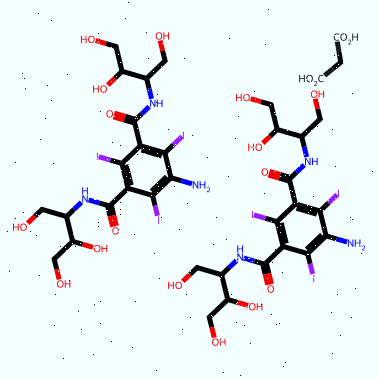 Nc1c(I)c(C(=O)NC(CO)C(O)CO)c(I)c(C(=O)NC(CO)C(O)CO)c1I.Nc1c(I)c(C(=O)NC(CO)C(O)CO)c(I)c(C(=O)NC(CO)C(O)CO)c1I.O=C(O)CC(=O)O